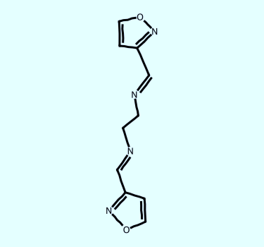 C(=NCCN=Cc1ccon1)c1ccon1